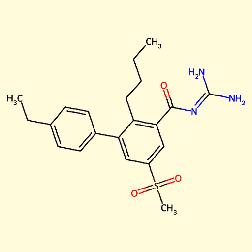 CCCCc1c(C(=O)N=C(N)N)cc(S(C)(=O)=O)cc1-c1ccc(CC)cc1